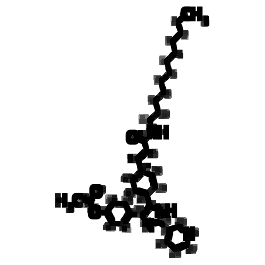 CCCCCCCCCCCCNC(=O)C=Cc1ccc(-c2[nH]c(-c3cccnc3)nc2-c2ccc(OC(C)=O)cc2)cc1